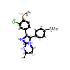 CSc1ccc(-c2c(-c3ccc(SC(C)C)c(Cl)c3)nc3nc(C)ccn23)cc1